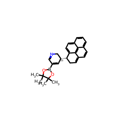 CC1(C)OB(C2=C[C@@H](C3CC=c4ccc5cccc6ccc3c4c65)CN=C2)OC1(C)C